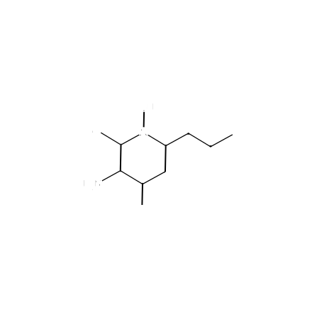 CCCC1CC(Cl)C(N)C(Cl)N1S